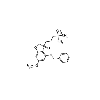 COc1cc(OCc2ccccc2)c2c(c1)OCP2(=O)CCCC(C)(C)C